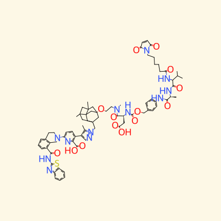 Cc1c(-c2ccc(N3CCc4cccc(C(=O)Nc5nc6ccccc6s5)c4C3)nc2C(=O)O)cnn1CC12CC3(OCCN(C)C(=O)[C@H](CC(=O)O)NC(=O)OCc4ccc(NC(=O)[C@H](C)NC(=O)[C@@H](NC(=O)CCCCCN5C(=O)C=CC5=O)C(C)C)cc4)CC4(C)CC(C)(C1)C4(C2)C3